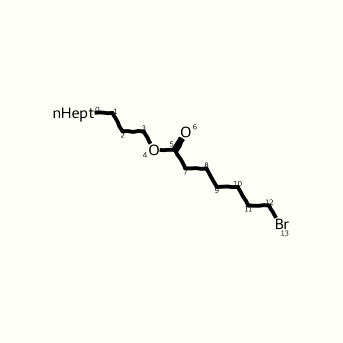 CCCCCCCCCCOC(=O)CCCCCCBr